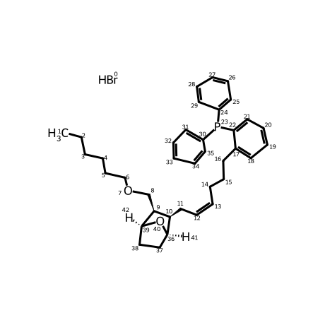 Br.CCCCCCOC[C@H]1[C@@H](C/C=C\CCCc2ccccc2P(c2ccccc2)c2ccccc2)[C@H]2CC[C@@H]1O2